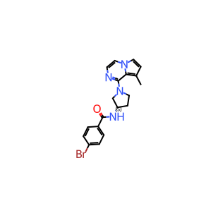 Cc1ccn2ccnc(N3CC[C@H](NC(=O)c4ccc(Br)cc4)C3)c12